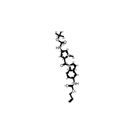 C=CCOC(=O)Nc1ccc2c(ccn2C(=O)c2cc(NC(=O)OC(C)(C)C)cn2C)c1